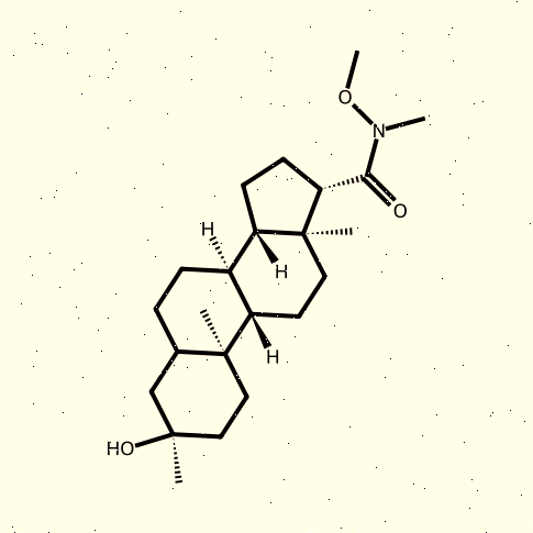 CON(C)C(=O)[C@H]1CC[C@H]2[C@@H]3CCC4C[C@](C)(O)CC[C@]4(C)[C@H]3CC[C@]12C